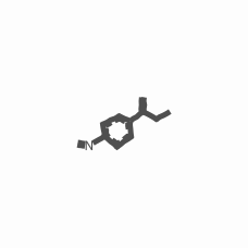 C=Nc1ccc(C(=C)CC)cc1